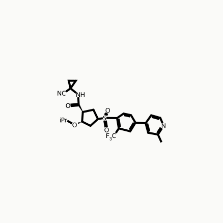 Cc1cc(-c2ccc(S(=O)(=O)C3C[C@H](OC(C)C)[C@@H](C(=O)NC4(C#N)CC4)C3)c(C(F)(F)F)c2)ccn1